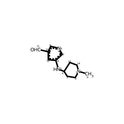 CN1CCC(Nc2cncc(C=O)c2)CC1